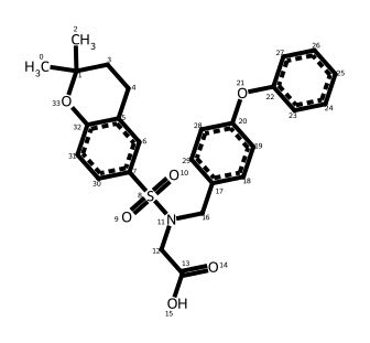 CC1(C)CCc2cc(S(=O)(=O)N(CC(=O)O)Cc3ccc(Oc4ccccc4)cc3)ccc2O1